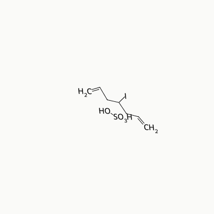 C=CCC(I)CC=C.O=S(=O)(O)O